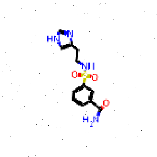 NC(=O)c1cccc(S(=O)(=O)NCCc2c[nH]cn2)c1